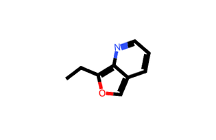 CCc1occ2cccnc12